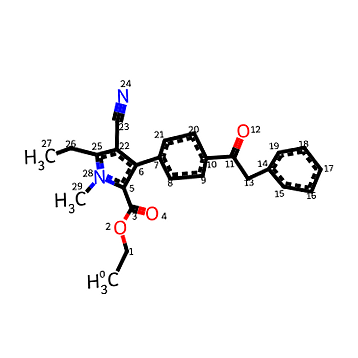 CCOC(=O)c1c(-c2ccc(C(=O)Cc3ccccc3)cc2)c(C#N)c(CC)n1C